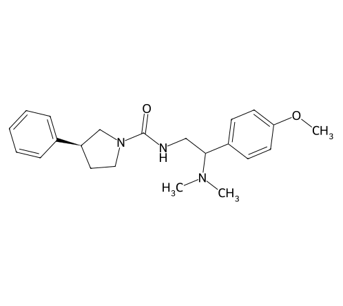 COc1ccc(C(CNC(=O)N2CC[C@@H](c3ccccc3)C2)N(C)C)cc1